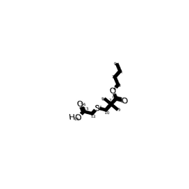 CCCCOC(=O)C(C)(C)CSCC(=O)O